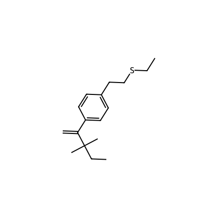 C=C(c1ccc(CCSCC)cc1)C(C)(C)CC